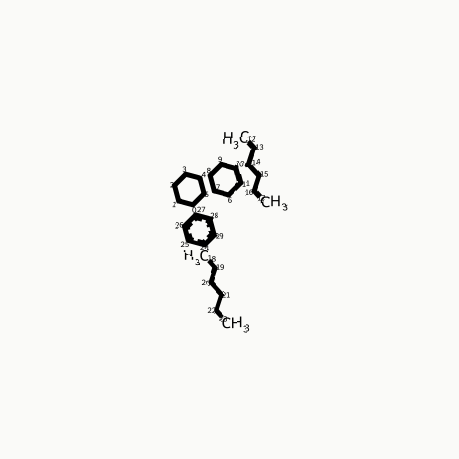 C1CCCCC1.C1CCCCC1.CCCCCC.CCCCCC.c1ccccc1